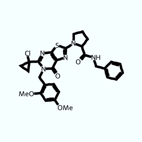 COc1ccc(Cn2c(C3(Cl)CC3)nc3sc(N4CCCC4C(=O)NCc4ccccc4)nc3c2=O)c(OC)c1